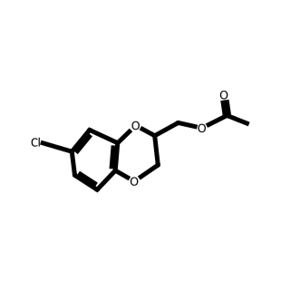 CC(=O)OCC1COc2ccc(Cl)cc2O1